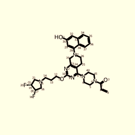 C=CC(=O)N1CCN(c2nc(OCCCN3C[C@@H](F)[C@@H](F)C3)nc3c2CCN(c2cc(O)cc4ccccc24)C3)CC1